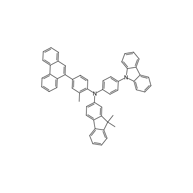 Cc1cc(-c2cc3ccccc3c3ccccc23)ccc1N(c1ccc(-n2c3ccccc3c3ccccc32)cc1)c1ccc2c(c1)C(C)(C)c1ccccc1-2